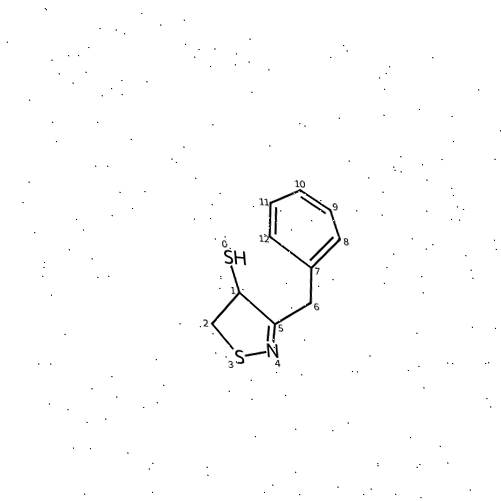 SC1CSN=C1Cc1ccccc1